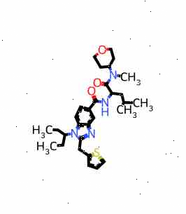 CCC(CC)n1c(Cc2cccs2)nc2cc(C(=O)NC(CC(C)C)C(=O)N(C)C3CCOCC3)ccc21